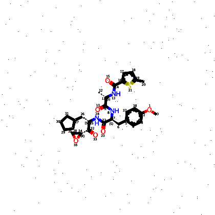 COc1ccc(C[C@H](NC(=O)[C@H](C)NC(=O)c2ccc(C)s2)C(=O)N[C@@H](CC2CCCC2)C(=O)[C@H]2CO2)cc1